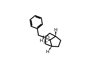 CC1(O)[C@@H]2CC[C@H]1CN(Cc1ccccc1)C2